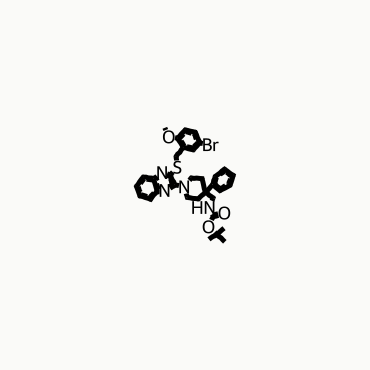 COc1ccc(Br)cc1CSc1nc2ccccc2nc1N1CCC(CNC(=O)OC(C)(C)C)(c2ccccc2)CC1